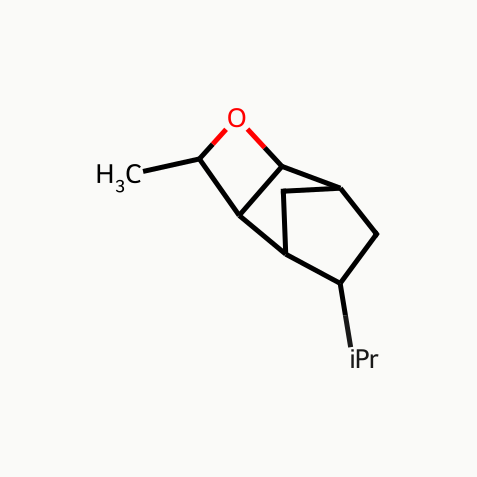 CC(C)C1CC2CC1C1C(C)OC21